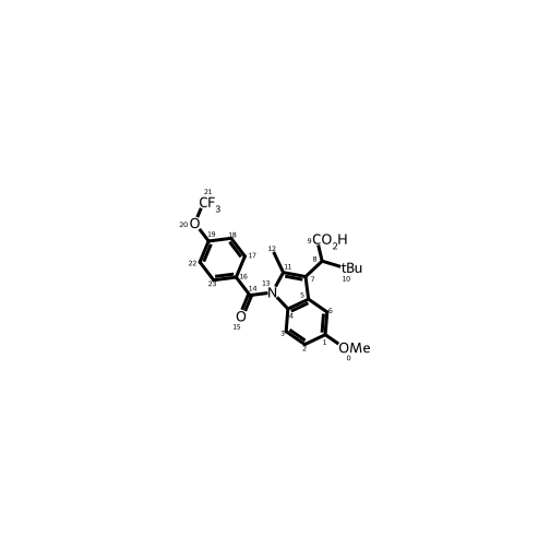 COc1ccc2c(c1)c(C(C(=O)O)C(C)(C)C)c(C)n2C(=O)c1ccc(OC(F)(F)F)cc1